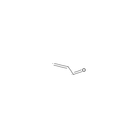 [CH]=C[C]=O